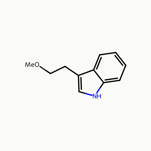 COCCc1c[nH]c2ccccc12